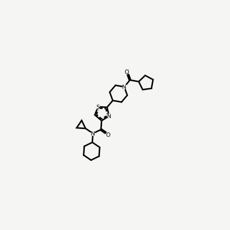 O=C(C1CCCC1)N1CCC(c2nc(C(=O)N(C3CCCCC3)C3CC3)cs2)CC1